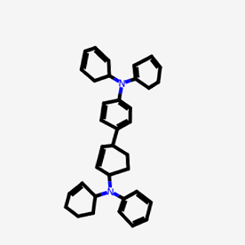 C1=CCCC(N(c2ccc(C3C=CC(N(c4ccccc4)C4C=CCCC4)CC3)cc2)C2C=CC=CC2)=C1